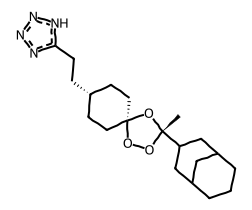 C[C@@]1(C2CC3CCCC(C3)C2)OO[C@]2(CC[C@@H](CCc3nnn[nH]3)CC2)O1